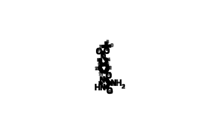 CC(C)(C)OC(=O)N1Cc2ccc(Oc3nc[nH]c(=O)c3N)cc2C1